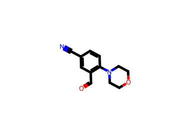 N#Cc1ccc(N2CCOCC2)c(C=O)c1